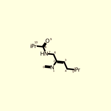 C=N/C(=C\CC(C)C)CNC(=O)C(C)C